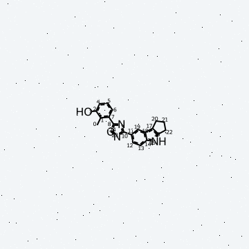 Cc1c(O)cccc1-c1nc(-c2ccc3[nH]c4c(c3c2)CC[CH]4)no1